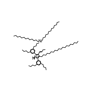 CCC=CC1=C(c2cc(CCCC)cc(CCCC)c2)[N+](=[N-])C(c2cc(CCCC)cc(CCCC)c2)=C1CCCCCCCCCCCCCCCCCCCC.CCCCCCCCCCCC[CH2][Ni][CH2]CCCCCCCCCCCC